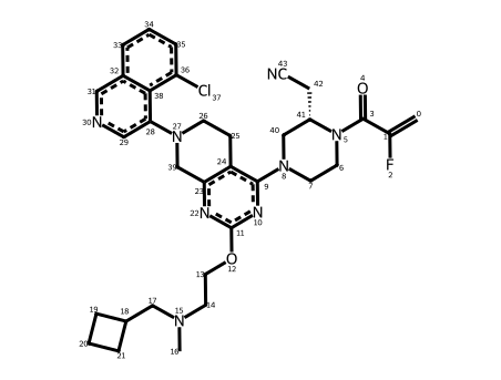 C=C(F)C(=O)N1CCN(c2nc(OCCN(C)CC3CCC3)nc3c2CCN(c2cncc4cccc(Cl)c24)C3)C[C@@H]1CC#N